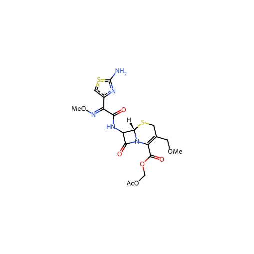 COCC1=C(C(=O)OCOC(C)=O)N2C(=O)C(NC(=O)C(=NOC)c3csc(N)n3)[C@@H]2SC1